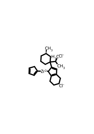 CC(C)C1(C2=CC3=C(CCCC3)[C@@H]2[Zr+2][C]2=CC=CC2)CCC[C@@H](C)C1.[Cl-].[Cl-]